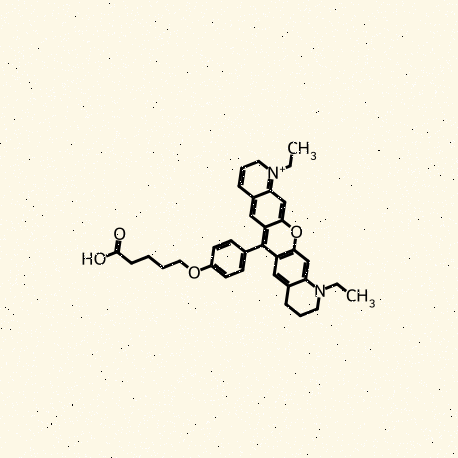 CCN1CCCc2cc3c(cc21)Oc1cc2c(cc1=C3c1ccc(OCCCCC(=O)O)cc1)C=CC[N+]=2CC